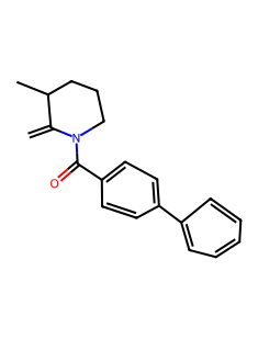 C=C1C(C)CCCN1C(=O)c1ccc(-c2ccccc2)cc1